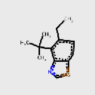 CCc1ccc2scnc2c1C(C)(C)C